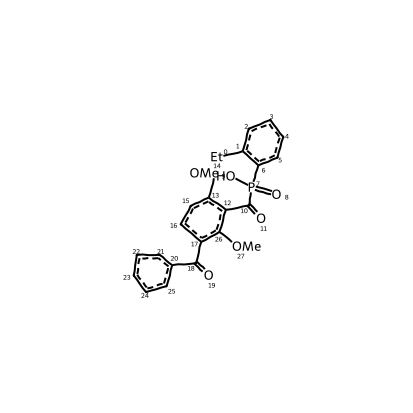 CCc1ccccc1P(=O)(O)C(=O)c1c(OC)ccc(C(=O)c2ccccc2)c1OC